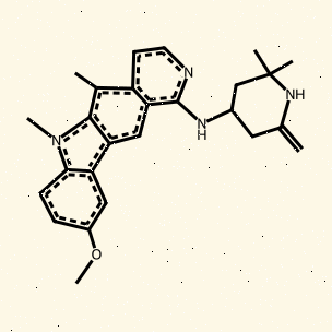 C=C1CC(Nc2nccc3c(C)c4c(cc23)c2cc(OC)ccc2n4C)CC(C)(C)N1